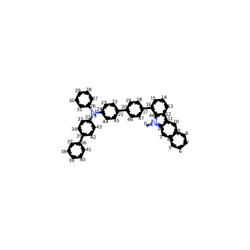 Cn1c2cc3ccccc3cc2c2cccc(-c3ccc(-c4ccc(N(c5ccccc5)c5ccc(-c6ccccc6)cc5)cc4)cc3)c21